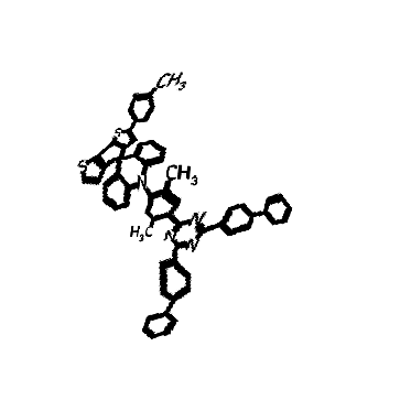 Cc1ccc(-c2cc3c(s2)-c2sccc2C32c3ccccc3N(c3cc(C)c(-c4nc(-c5ccc(-c6ccccc6)cc5)nc(-c5ccc(-c6ccccc6)cc5)n4)cc3C)c3ccccc32)cc1